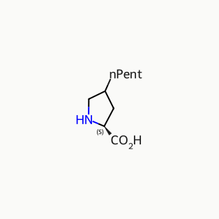 CCCCCC1CN[C@H](C(=O)O)C1